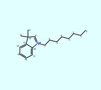 CCCCCCCC[N+]1=CC(C)(C)c2ccccc21